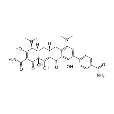 CN(C)c1cc(-c2ccc(C(N)=O)cc2)c(O)c2c1C[C@H]1C[C@H]3[C@H](N(C)C)C(O)=C(C(N)=O)C(=O)[C@@]3(O)C(O)=C1C2=O